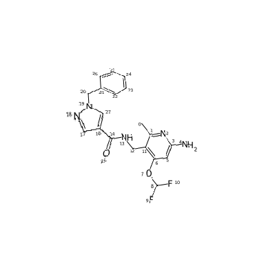 Cc1nc(N)cc(OC(F)F)c1CNC(=O)c1cnn(Cc2ccccc2)c1